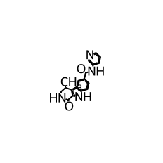 CC1CNC(=O)c2[nH]c3ccc(C(=O)Nc4cccnc4)cc3c21